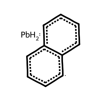 [PbH2].[c]1cccc2ccccc12